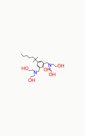 CCCCCC(C)(C)c1cc(CN(CCO)CCO)c(O)c(CN(CCO)CCO)c1